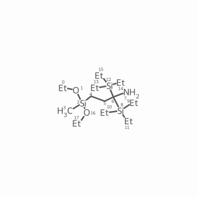 CCO[Si](C)(CCC(N)([Si](CC)(CC)CC)[Si](CC)(CC)CC)OCC